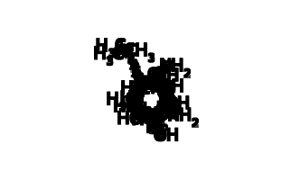 CCC(C)CC(C)CCCCCCCCC(=O)NC1C[C@@H](O)C(SCC(=O)NCCN)NC(=O)[C@@H]2[C@@H](O)CCN2C(=O)C([C@H](O)CCN)NC(=O)[C@H](C[C@@H](O)c2ccc(O)cc2)NC(=O)C2C[C@@H](O)CN2C(=O)C([C@@H](C)O)NC1=O